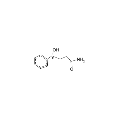 NC(=O)CC[C@@H](O)c1ccccc1